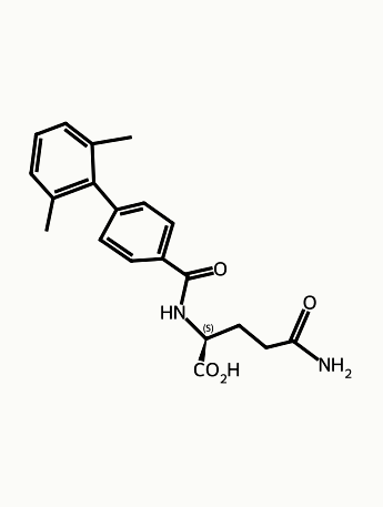 Cc1cccc(C)c1-c1ccc(C(=O)N[C@@H](CCC(N)=O)C(=O)O)cc1